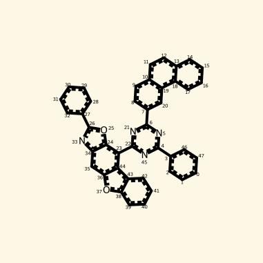 c1ccc(-c2nc(-c3ccc4ccc5ccccc5c4c3)nc(-c3c4oc(-c5ccccc5)nc4cc4oc5ccccc5c34)n2)cc1